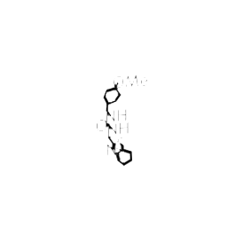 COc1ccc(CNC(=O)NCc2nc3ccccc3s2)cc1